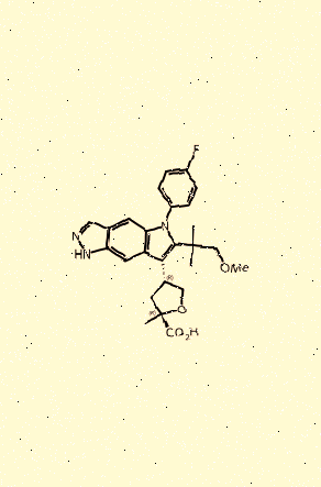 COCC(C)(C)c1c([C@@H]2CO[C@@](C)(C(=O)O)C2)c2cc3[nH]ncc3cc2n1-c1ccc(F)cc1